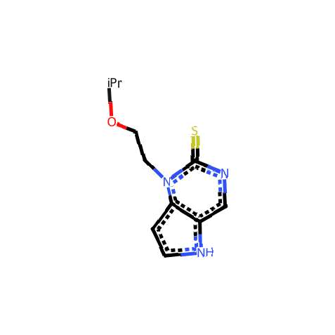 CC(C)OCCn1c(=S)ncc2[nH]ccc21